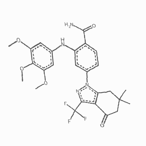 COc1cc(Nc2cc(-n3nc(C(F)(F)F)c4c3CC(C)(C)CC4=O)ccc2C(N)=O)cc(OC)c1OC